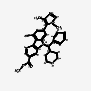 COC(=O)c1cnc2c3c(Cl)cc(-c4c(C)nnn4C)cc3n(C(c3ccccc3)C3CCOCC3)c2c1